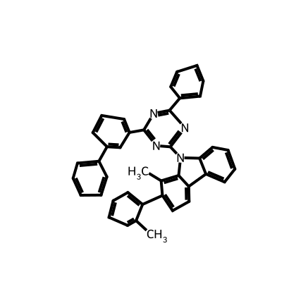 Cc1ccccc1-c1ccc2c3ccccc3n(-c3nc(-c4ccccc4)nc(-c4cccc(-c5ccccc5)c4)n3)c2c1C